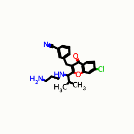 CC(C)C(NCCCN)c1oc2cc(Cl)ccc2c(=O)c1Cc1cccc(C#N)c1